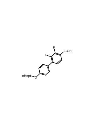 CCCCCCCOc1ccc(-c2ccc(C(=O)O)c(F)c2F)cc1